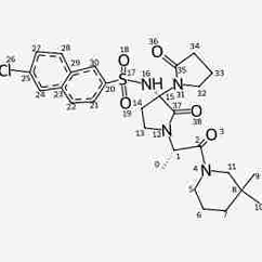 C[C@@H](C(=O)N1CCCC(C)(C)C1)N1CC[C@@](NS(=O)(=O)c2ccc3cc(Cl)ccc3c2)(N2CCCC2=O)C1=O